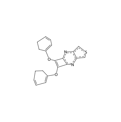 C1=CCCC(OC2=C(OC3=CC=CCC3)c3nc4cscc4nc32)=C1